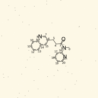 CN(C(=O)CCc1cnc2ccccc2c1)c1ccccn1